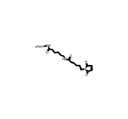 CCCCCNC(=O)CCCCCNC(=O)CCCCCN1C(=O)C=CC1=O